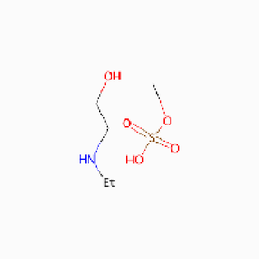 CCNCCO.COS(=O)(=O)O